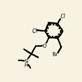 C[SiH](C)C(C)(C)COc1c(Cl)cc(Cl)cc1CBr